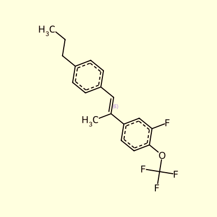 CCCc1ccc(/C=C(\C)c2ccc(OC(F)(F)F)c(F)c2)cc1